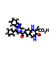 CC(C(=O)O)C1Nc2ccc(C(=O)N(CCc3ccccc3)Cc3nc4ccccc4[nH]3)cc2CNC1=O